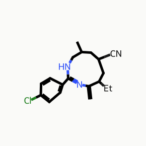 C=C1/N=C(/c2ccc(Cl)cc2)NCC(C)CC(C#N)CC1CC